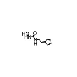 O=C(NO)NCC=C1C=CC=C1